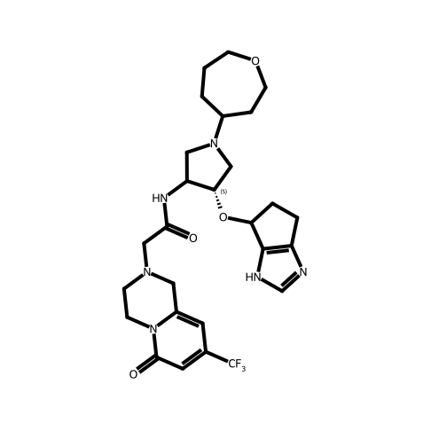 O=C(CN1CCn2c(cc(C(F)(F)F)cc2=O)C1)NC1CN(C2CCCOCC2)C[C@@H]1OC1CCc2nc[nH]c21